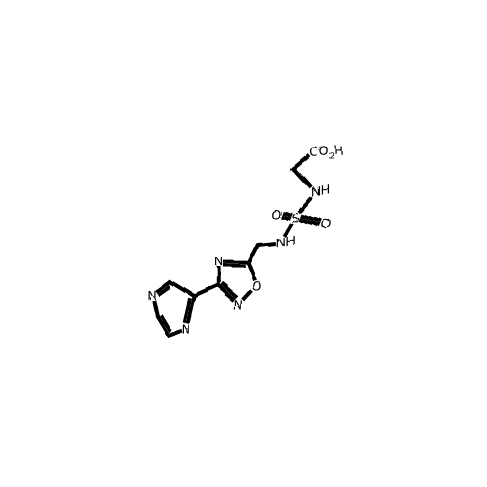 O=C(O)CNS(=O)(=O)NCc1nc(-c2cnccn2)no1